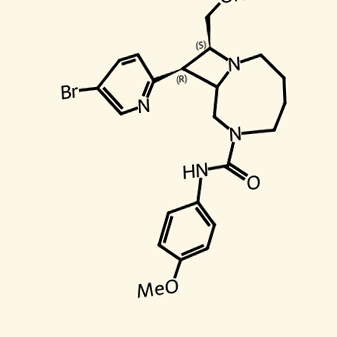 COc1ccc(NC(=O)N2CCCCN3C(C2)[C@@H](c2ccc(Br)cn2)[C@H]3CO)cc1